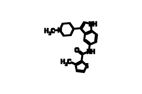 Cc1ccsc1C(=O)Nc1ccc2[nH]cc(C3CCN(C)CC3)c2c1